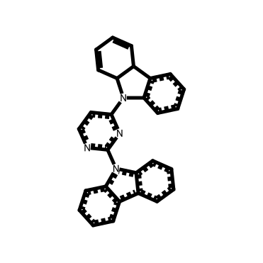 C1=CC2c3ccccc3N(c3ccnc(-n4c5ccccc5c5ccccc54)n3)C2C=C1